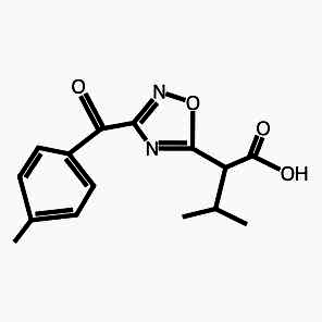 Cc1ccc(C(=O)c2noc(C(C(=O)O)C(C)C)n2)cc1